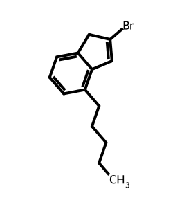 CCCCCc1cccc2c1C=C(Br)C2